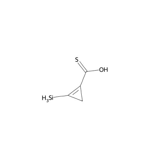 OC(=S)C1=C([SiH3])C1